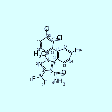 Cn1nc(C(F)F)c(C(N)=O)c1-c1ccc(F)cc1-c1cccc(Cl)c1Cl